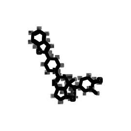 CN1C[C@@H](NC2(C)NC(N3CCC(c4cc5ccccc5o4)CC3)=NC3=C2[S+]([O-])CC3)CCC1=O